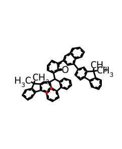 CC1(C)c2ccccc2-c2ccc(-c3c4ccccc4cc4c3oc3c(C(c5ccc6c(c5)C(C)(C)c5ccccc5-6)c5ccccc5-c5ccccc5)cccc34)cc21